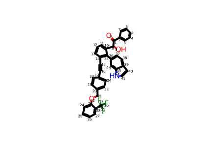 O=C(c1ccccc1)C(O)c1cccc(C#Cc2ccc(COc3ccccc3C(F)(F)F)cc2)c1-c1ccc2cc[nH]c2c1